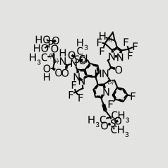 C[C@@H](OP(=O)(O)O)[C@H](NC(=O)N(c1nn(CC(F)(F)F)c2c(-c3ccc(C#CC(C)(C)S(C)(=O)=O)nc3[C@H](Cc3cc(F)cc(F)c3)NC(=O)Cn3nc(C(F)(F)F)c4c3C(F)(F)[C@@H]3CC43)ccc(Cl)c12)S(C)(=O)=O)C(=O)O